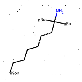 CCCCCCCCCCCCCCCC(N)(CCCC)CCCC